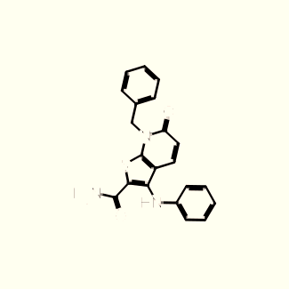 NC(=O)c1sc2c(ccc(=O)n2Cc2ccccc2)c1Nc1ccccc1